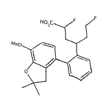 COc1ccc(-c2ccccc2C(CCF)CC(F)C(=O)O)c2c1OC(C)(C)C2